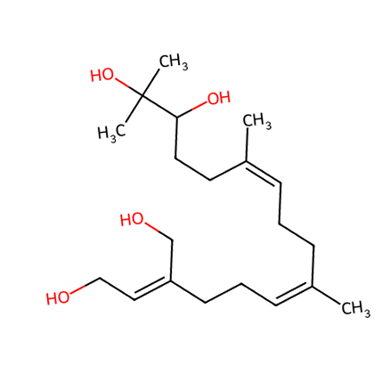 CC(=CCCC(=CCO)CO)CCC=C(C)CCC(O)C(C)(C)O